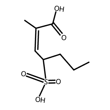 CCCC(C=C(C)C(=O)O)S(=O)(=O)O